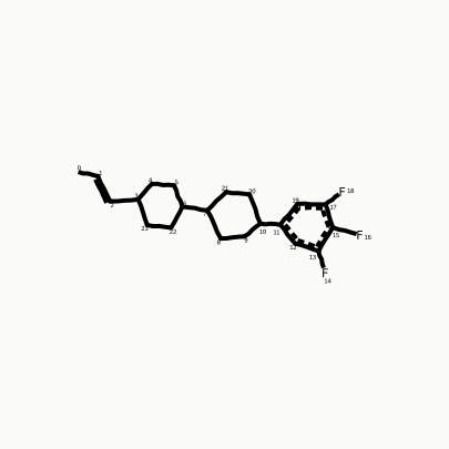 C/C=C/C1CCC(C2CCC(c3cc(F)c(F)c(F)c3)CC2)CC1